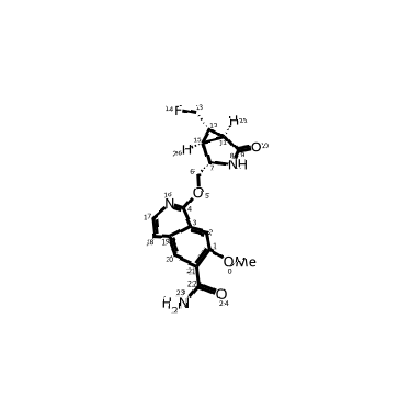 COc1cc2c(OC[C@H]3NC(=O)[C@@H]4[C@@H](CF)[C@@H]43)nccc2cc1C(N)=O